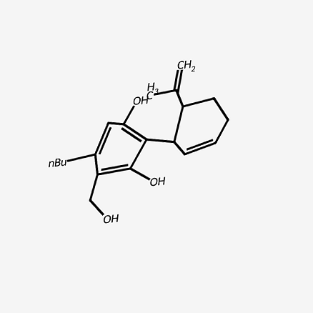 C=C(C)C1CCC=CC1c1c(O)cc(CCCC)c(CO)c1O